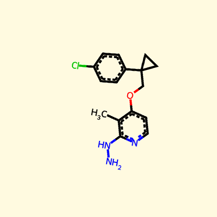 Cc1c(OCC2(c3ccc(Cl)cc3)CC2)ccnc1NN